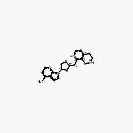 Cc1ccnc2c1ccn2C1CCC(Cc2nccc3c2CNCC3)C1